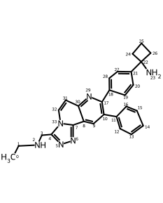 CCNCc1nnc2c3cc(-c4ccccc4)c(-c4ccc(C5(N)CCC5)cc4)nc3ccn12